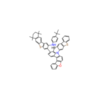 CC(C)(C)c1ccc(Nc2cc3c(cc2-c2ccc4c5c6c(ccc5n5c4c2Bc2cc4c(cc2-5)sc2ccccc24)oc2ccccc26)sc2cc4c(cc23)C(C)(C)CCC4(C)C)cc1